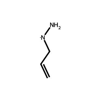 C=CC[N]N